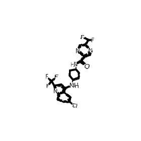 O=C(N[C@H]1CC[C@@H](Nc2cc(C(F)(F)F)nc3ccc(Cl)cc23)CC1)c1cnc(C(F)F)cn1